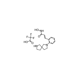 O=C(C=Cc1ccccc1N1CCC2(CCNC2)C1)NO.O=C(O)C(F)(F)F